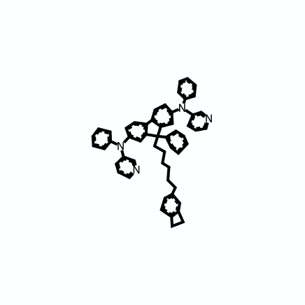 c1ccc(N(c2cccnc2)c2ccc3c(c2)C(CCCCCCc2ccc4c(c2)CC4)(c2ccccc2)c2cc(N(c4ccccc4)c4cccnc4)ccc2-3)cc1